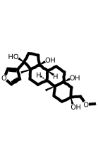 COC[C@]1(O)CC[C@]2(C)[C@H]3CC[C@]4(C)[C@](O)(c5ccoc5)CC[C@]4(O)[C@@H]3CC[C@]2(O)C1